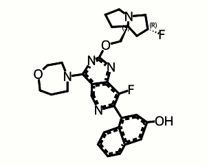 Oc1cc(-c2ncc3c(N4CCCOCC4)nc(OC[C@@]45CCCN4C[C@H](F)C5)nc3c2F)c2ccccc2c1